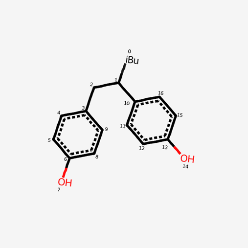 CCC(C)C(Cc1ccc(O)cc1)c1ccc(O)cc1